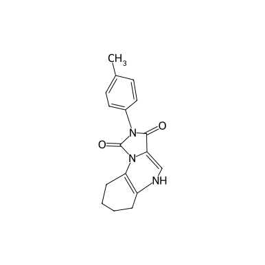 Cc1ccc(-n2c(=O)c3c[nH]c4c(n-3c2=O)CCCC4)cc1